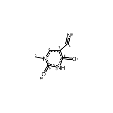 Cn1cc(C#N)c(=O)[nH]c1=O